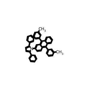 Cc1cccc(-c2c3ccccc3c(-c3cccc(C)c3)c3cc(-n4c(-c5ccccc5)ccc4-c4ccccc4)ccc23)c1